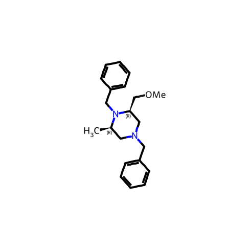 COC[C@H]1CN(Cc2ccccc2)C[C@@H](C)N1Cc1ccccc1